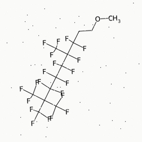 COCCC(F)(F)C(F)(C(F)(F)F)C(F)(F)C(F)(F)C(F)(F)C(C(F)(F)F)(C(F)(F)F)C(F)(F)F